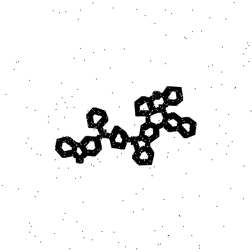 c1ccc(N(c2ccc(-n3c4ccccc4c4cc5c(cc43)-c3cccc4c3N(c3ccccc3O4)c3cc4ccccc4cc3-5)cc2)c2ccc3oc4ccccc4c3c2)cc1